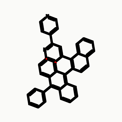 c1ccc(-c2c3ccccc3c(-c3ccc4ccccc4c3-c3ccnc(-c4ccncc4)c3)c3ccccc23)cc1